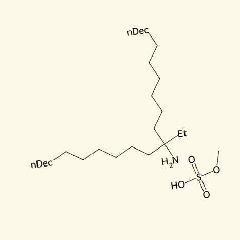 CCCCCCCCCCCCCCCCC(N)(CC)CCCCCCCCCCCCCCCC.COS(=O)(=O)O